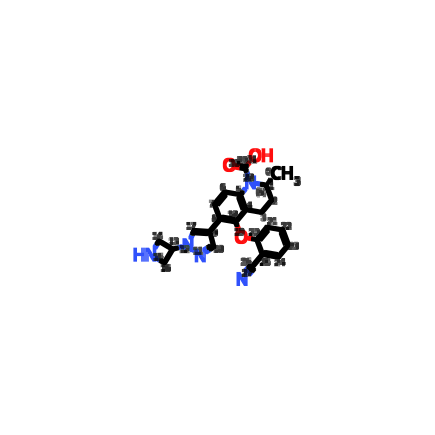 C[C@H]1CCc2c(ccc(-c3cnn(C4CNC4)c3)c2Oc2ccccc2C#N)N1C(=O)O